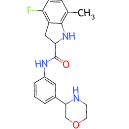 Cc1ccc(F)c2c1NC(C(=O)Nc1cccc(C3COCCN3)c1)C2